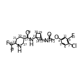 O=C(COc1ccc(Cl)c(F)c1)NC1CC2(NC(=O)C3CCC(C(F)F)NC3)CC1C2